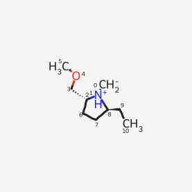 [CH2-][NH+]1[C@@H](COC)CC[C@@H]1CC